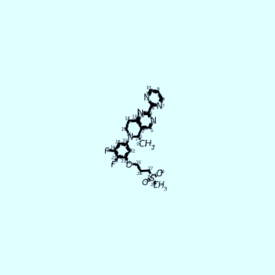 C[C@@H]1c2cnc(-c3ncccn3)nc2CCN1c1cc(F)c(F)c(OCCCS(C)(=O)=O)c1